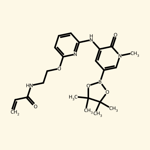 C=CC(=O)NCCOc1cccc(Nc2cc(B3OC(C)(C)C(C)(C)O3)cn(C)c2=O)n1